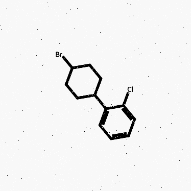 Clc1ccccc1C1CCC(Br)CC1